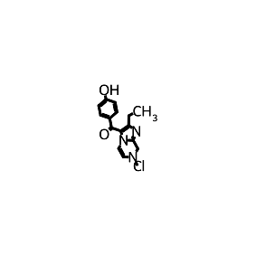 CCc1nc2n(c1C(=O)c1ccc(O)cc1)C=CN(Cl)C2